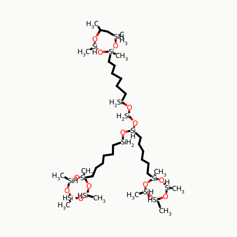 CC1C[SiH](C)O[Si](C)(CCCCCC[SiH2]O[SiH2]O[SiH](CCCCCC[Si]2(C)O[SiH](C)O[SiH](C)O[SiH](C)O2)O[SiH2]CCCCCC[Si]2(C)O[SiH](C)O[SiH](C)O[SiH](C)O2)O[SiH](C)O1